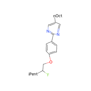 CCCCCCCCc1cnc(-c2ccc(OCC(F)C(C)CCC)cc2)nc1